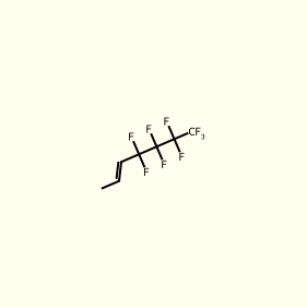 CC=CC(F)(F)C(F)(F)C(F)(F)C(F)(F)F